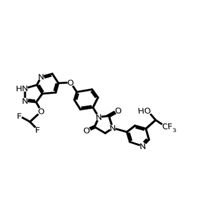 O=C1CN(c2cncc(C(O)C(F)(F)F)c2)C(=O)N1c1ccc(Oc2cnc3[nH]nc(OC(F)F)c3c2)cc1